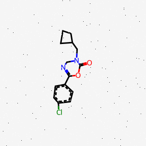 O=C1OC(c2ccc(Cl)cc2)=NCN1CC1CCC1